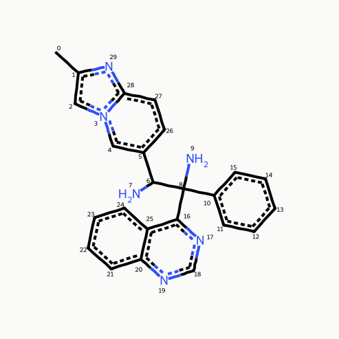 Cc1cn2cc(C(N)C(N)(c3ccccc3)c3ncnc4ccccc34)ccc2n1